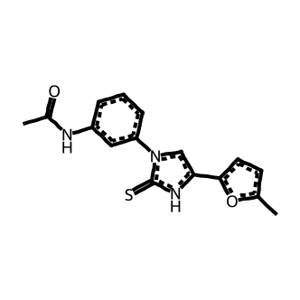 CC(=O)Nc1cccc(-n2cc(-c3ccc(C)o3)[nH]c2=S)c1